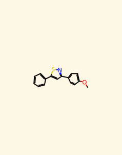 COc1ccc(-c2cc(-c3ccccc3)sn2)cc1